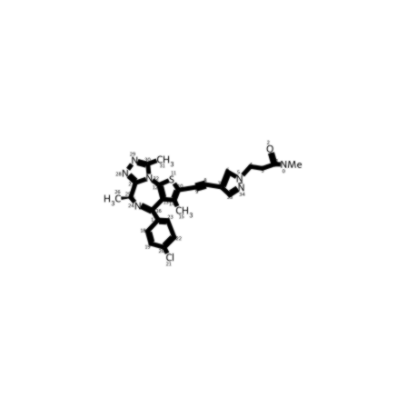 CNC(=O)CCn1cc(C#Cc2sc3c(c2C)C(c2ccc(Cl)cc2)=N[C@@H](C)c2nnc(C)n2-3)cn1